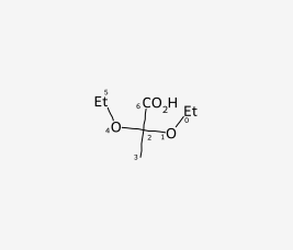 CCOC(C)(OCC)C(=O)O